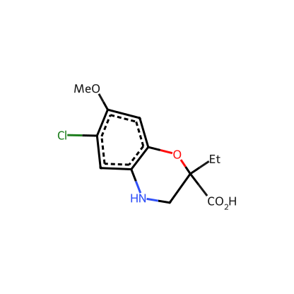 CCC1(C(=O)O)CNc2cc(Cl)c(OC)cc2O1